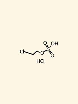 Cl.O=S(=O)(O)OCCCl